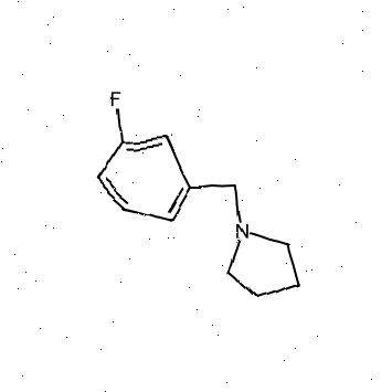 Fc1[c]c(CN2CCCC2)ccc1